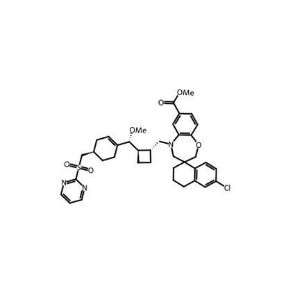 COC(=O)c1ccc2c(c1)N(C[C@@H]1CC[C@H]1[C@@H](OC)C1=CC[C@H](CS(=O)(=O)c3ncccn3)CC1)CC1(CCCc3cc(Cl)ccc31)CO2